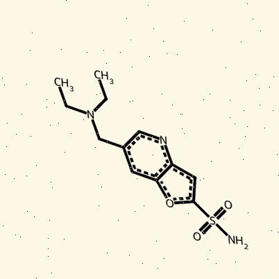 CCN(CC)Cc1cnc2cc(S(N)(=O)=O)oc2c1